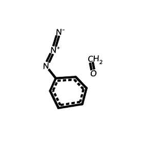 C=O.[N-]=[N+]=Nc1ccccc1